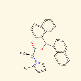 CC(=O)c1cccn1[C@@H](C)C(=O)OC(c1cccc2ccccc12)c1cccc2ccccc12